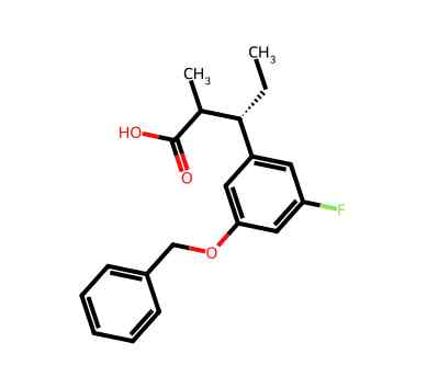 CC[C@H](c1cc(F)cc(OCc2ccccc2)c1)C(C)C(=O)O